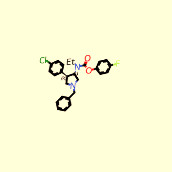 CCN(C(=O)Oc1ccc(F)cc1)[C@@H]1CN(Cc2ccccc2)C[C@H]1c1ccc(Cl)cc1